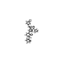 O=C(c1ccco1)n1nc(-c2cccn(Cc3ncccn3)c2=O)cc1NCc1ccc(Cl)s1